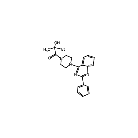 CCC(C)(O)C(=O)N1CCN(c2nc(-c3ccccc3)nc3ccccc23)CC1